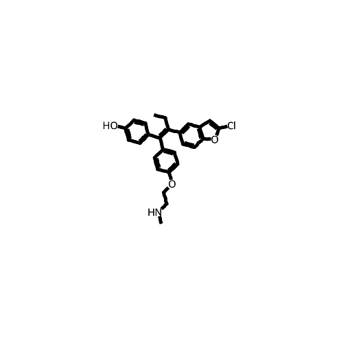 CCC(=C(c1ccc(O)cc1)c1ccc(OCCNC)cc1)c1ccc2oc(Cl)cc2c1